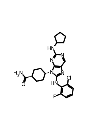 NC(=O)[C@H]1CC[C@H](n2c(Nc3c(F)cccc3Cl)nc3cnc(NC4CCCC4)nc32)CC1